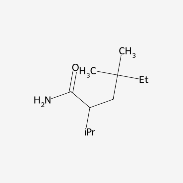 CCC(C)(C)CC(C(N)=O)C(C)C